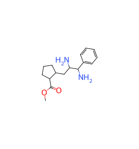 COC(=O)C1CCCC1CC(N)C(N)c1ccccc1